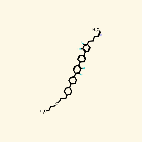 C/C=C\CCCc1ccc(-c2ccc(-c3ccc(C4=CCC(C5CCC(CCCCCCCC)CC5)CC4)c(F)c3F)cc2)c(F)c1F